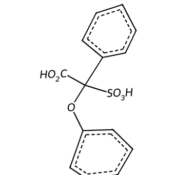 O=C(O)C(Oc1ccccc1)(c1ccccc1)S(=O)(=O)O